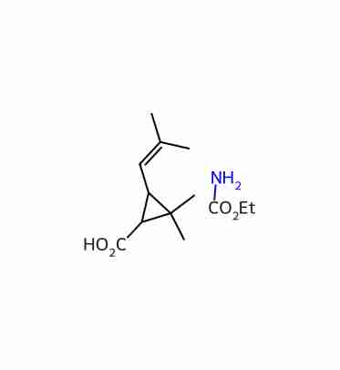 CC(C)=CC1C(C(=O)O)C1(C)C.CCOC(N)=O